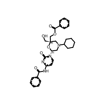 O=C(Nc1ccn([C@H]2CN(C3CCCCC3)C[C@@](CO)(COC(=O)c3ccccc3)O2)c(=O)n1)c1ccccc1